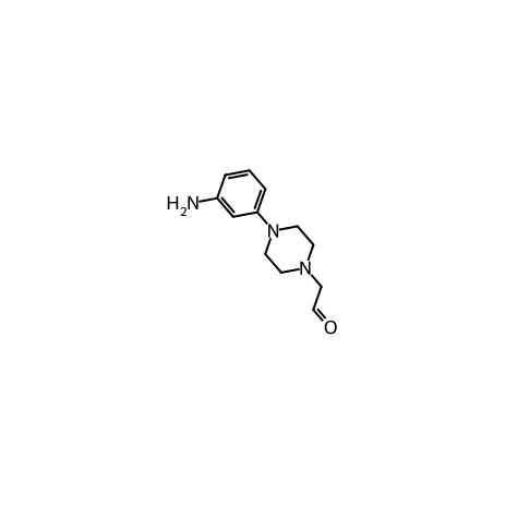 Nc1cccc(N2CCN(CC=O)CC2)c1